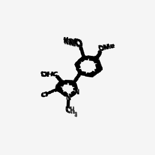 COc1ccc(-c2nn(C)c(Cl)c2C=O)cc1OC